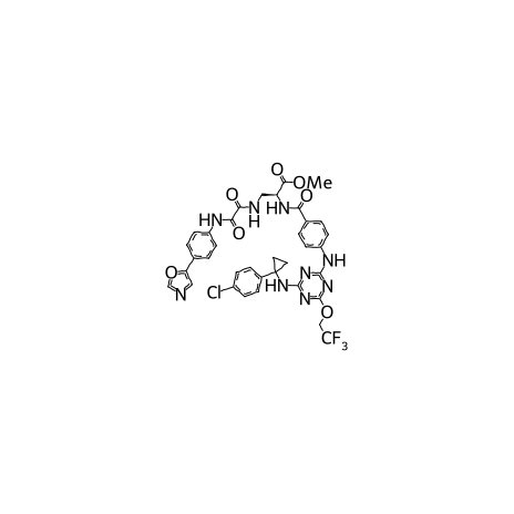 COC(=O)[C@H](CNC(=O)C(=O)Nc1ccc(-c2cnco2)cc1)NC(=O)c1ccc(Nc2nc(NC3(c4ccc(Cl)cc4)CC3)nc(OCC(F)(F)F)n2)cc1